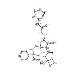 CCCC(C)[C@]1(c2ccccc2)CC[C@]2(CC1)CN(CCC(=O)Nc1cncnc1)C(=O)N2C(C)CC1(O)CCC1